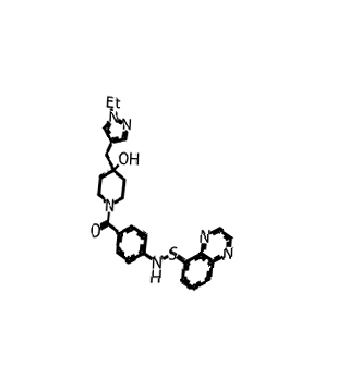 CCn1cc(CC2(O)CCN(C(=O)c3ccc(NSc4cccc5nccnc45)cc3)CC2)cn1